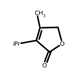 CC1=C(C(C)C)C(=O)OC1